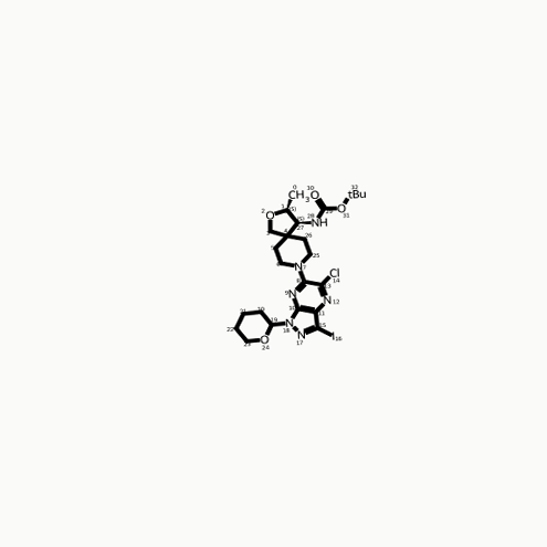 C[C@@H]1OCC2(CCN(c3nc4c(nc3Cl)c(I)nn4C3CCCCO3)CC2)[C@@H]1NC(=O)OC(C)(C)C